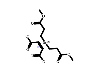 COC(=O)C[CH2][Sn+2][CH2]CC(=O)OC.O=C([O-])/C=C\C(=O)[O-]